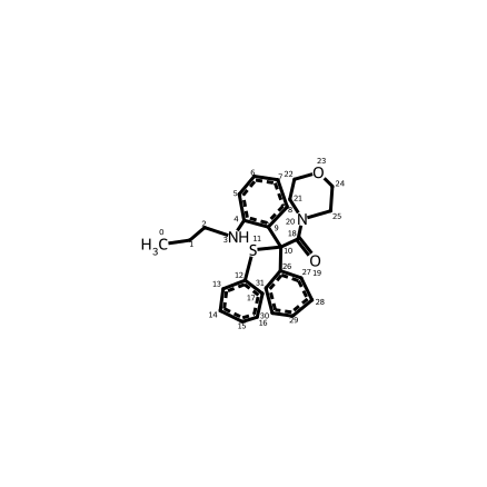 CCCNc1ccccc1C(Sc1ccccc1)(C(=O)N1CCOCC1)c1ccccc1